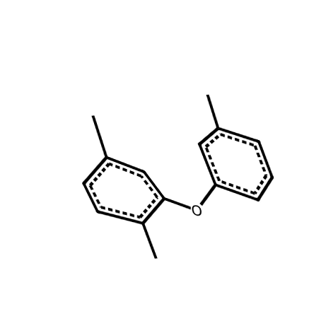 Cc1cccc(Oc2cc(C)ccc2C)c1